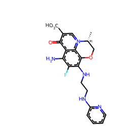 C[C@@H]1COc2c(NCCNc3ccccn3)c(F)c(N)c3c(=O)c(C(=O)O)cn1c23